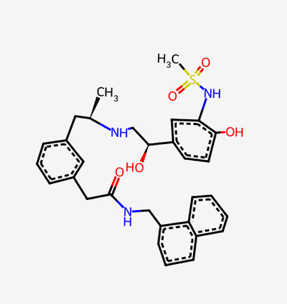 C[C@H](Cc1cccc(CC(=O)NCc2cccc3ccccc23)c1)NC[C@H](O)c1ccc(O)c(NS(C)(=O)=O)c1